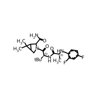 C[C@H](Nc1ccc(F)cc1F)C(=O)N[C@H](C(=O)N1CC2C(C1C(N)=O)C2(C)C)C(C)(C)C